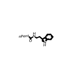 CCCCCC(=O)NCCc1c[nH]c2ccccc12